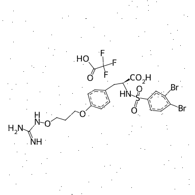 N=C(N)NOCCCOc1ccc(C[C@H](NS(=O)(=O)c2ccc(Br)c(Br)c2)C(=O)O)cc1.O=C(O)C(F)(F)F